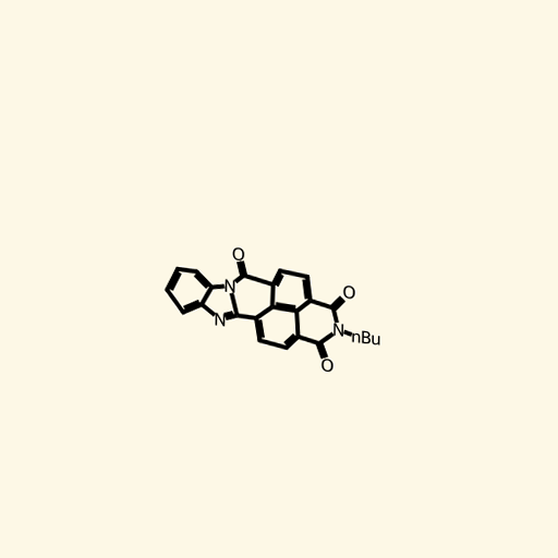 CCCCN1C(=O)c2ccc3c(=O)n4c5ccccc5nc4c4ccc(c2c34)C1=O